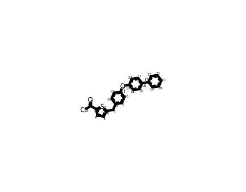 O=C(Cl)c1ccc(Cc2ccc(Oc3ccc(-c4ccccc4)cc3)cc2)s1